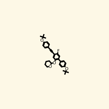 CC(C)(C)Oc1ccc(C#Cc2cc(OC3CCCCO3)c(-c3ccc(OC(C)(C)C)cc3)cc2F)cc1